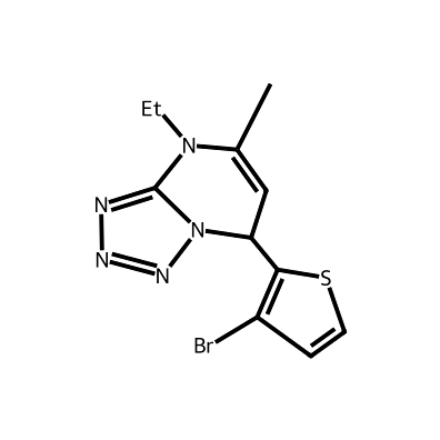 CCN1C(C)=CC(c2sccc2Br)n2nnnc21